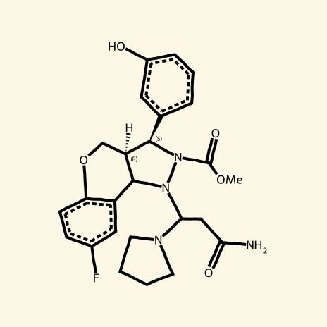 COC(=O)N1[C@H](c2cccc(O)c2)[C@@H]2COc3ccc(F)cc3C2N1C(CC(N)=O)N1CCCC1